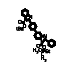 CCC(C)(C)OC(=O)n1c(-c2ccccc2)nc2cc(-c3ccc(-c4nc5ccccc5n4C(=O)OC(C)(C)C)cc3)ccc21